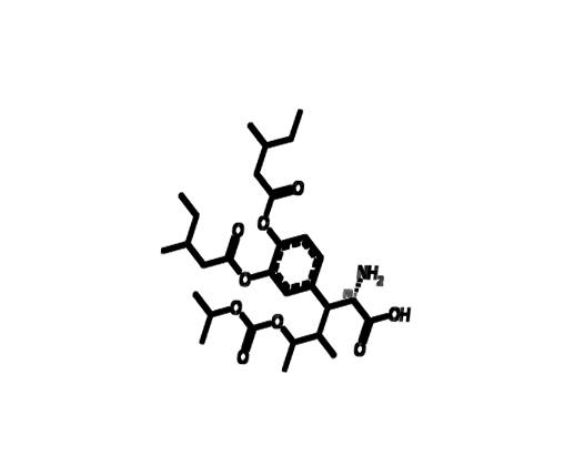 CCC(C)CC(=O)Oc1ccc(C(C(C)C(C)OC(=O)OC(C)C)[C@H](N)C(=O)O)cc1OC(=O)CC(C)CC